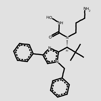 CC(C)(C)[C@H](c1nc(-c2ccccc2)cn1Cc1ccccc1)N(CCCN)C(=O)NO